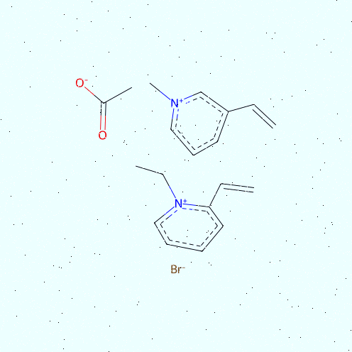 C=Cc1ccc[n+](C)c1.C=Cc1cccc[n+]1CC.CC(=O)[O-].[Br-]